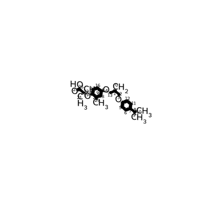 C=C(COc1ccc(C(C)C)cc1)COc1ccc(OC(C)(C)C(=O)O)c(C)c1